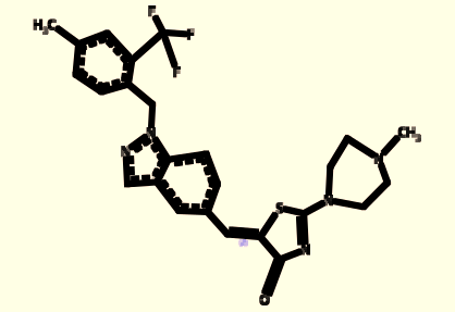 Cc1ccc(Cn2ncc3cc(/C=C4\SC(N5CCN(C)CC5)=NC4=O)ccc32)c(C(F)(F)F)c1